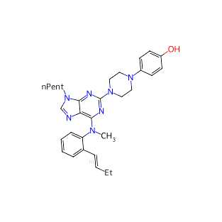 CC/C=C/c1ccccc1N(C)c1nc(N2CCN(c3ccc(O)cc3)CC2)nc2c1ncn2CCCCC